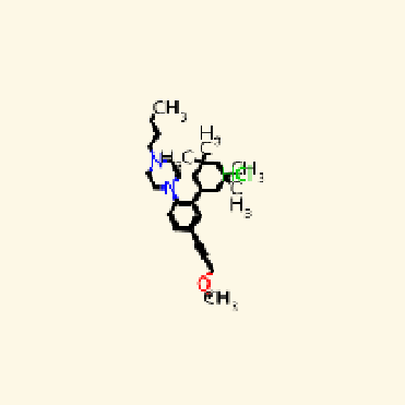 CCCCN1CCN(c2ccc(C#CCOC)cc2C2CC(C)(C)CC(C)(C)C2)CC1.Cl